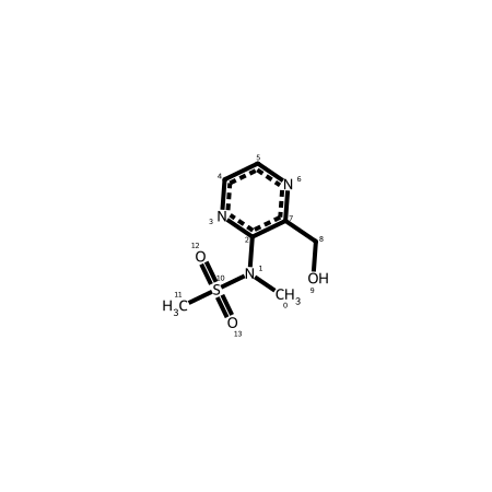 CN(c1nccnc1CO)S(C)(=O)=O